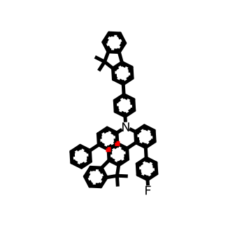 CC1(C)c2ccccc2-c2ccc(-c3ccc(N(c4ccc(-c5ccccc5)cc4)c4cccc(-c5ccc(F)cc5)c4-c4ccc5c(c4)C(C)(C)c4ccccc4-5)cc3)cc21